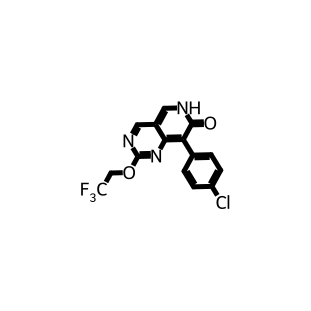 O=c1[nH]cc2cnc(OCC(F)(F)F)nc2c1-c1ccc(Cl)cc1